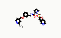 O=C(NCc1cccc(OCc2ccnc(C(F)(F)F)c2)c1)[C@@H]1CCCN1S(=O)(=O)c1cc2cnccc2o1